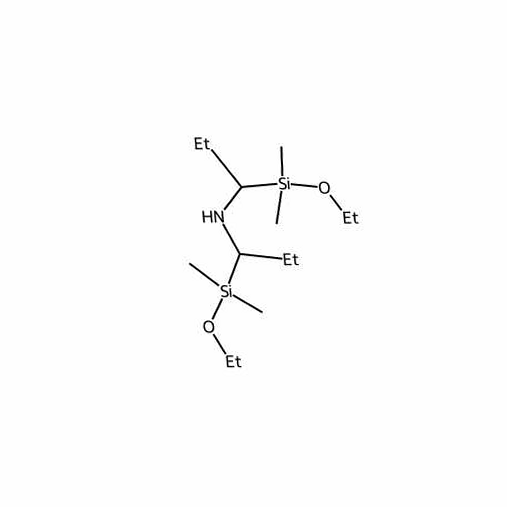 CCO[Si](C)(C)C(CC)NC(CC)[Si](C)(C)OCC